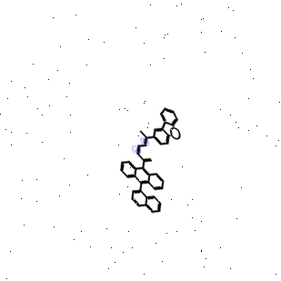 C=C(/C=C\C=C(/C)c1ccc2oc3ccccc3c2c1)c1c2ccccc2c(-c2cccc3ccccc23)c2ccccc12